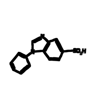 O=S(=O)(O)c1ccc2c(c1)ncn2-c1ccccc1